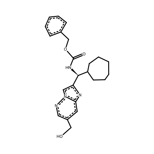 O=C(N[C@H](c1cn2ncc(CO)cc2n1)C1CCCCCC1)OCc1ccccc1